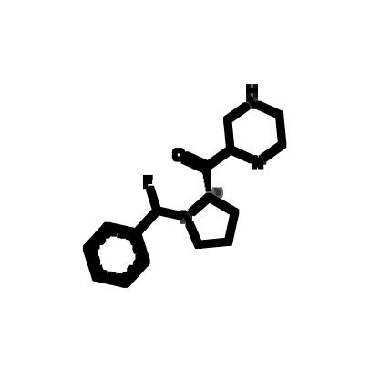 O=C(C1CNCC[N]1)[C@@H]1CCCN1C(F)c1ccccc1